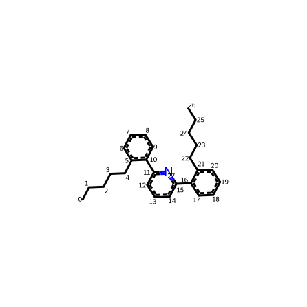 CCCCCc1ccccc1-c1cccc(-c2ccccc2CCCCC)n1